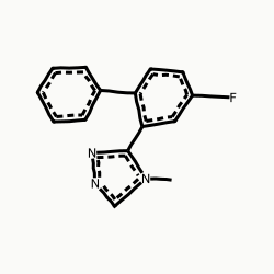 Cn1cnnc1-c1cc(F)ccc1-c1ccccc1